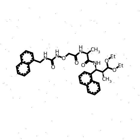 CCOC(OCC)[C@@H](C)[C@H](NC(=O)C(C)NC(=O)CONC(=O)NCc1cccc2ccccc12)c1cccc2ccccc12